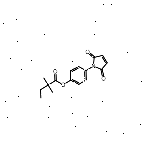 CCC(C)(C)C(=O)Oc1ccc(N2C(=O)C=CC2=O)cc1